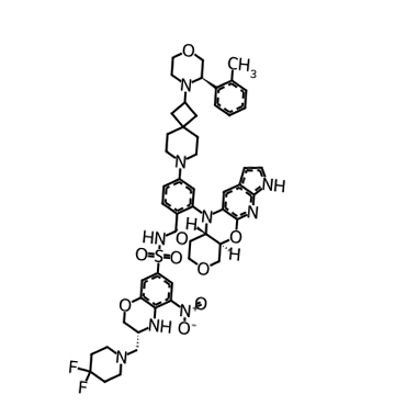 Cc1ccccc1[C@@H]1COCCN1C1CC2(CCN(c3ccc(C(=O)NS(=O)(=O)c4cc5c(c([N+](=O)[O-])c4)N[C@H](CN4CCC(F)(F)CC4)CO5)c(N4c5cc6cc[nH]c6nc5O[C@H]5COCC[C@@H]54)c3)CC2)C1